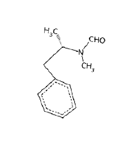 C[C@@H](Cc1ccccc1)N(C)C=O